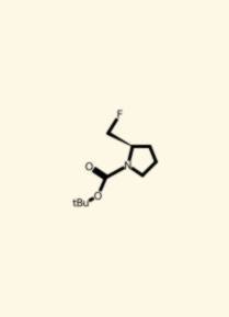 CC(C)(C)OC(=O)N1CCC[C@@H]1CF